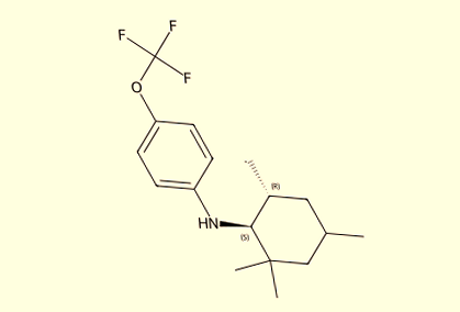 [CH2][C@@H]1CC(C)CC(C)(C)[C@H]1Nc1ccc(OC(F)(F)F)cc1